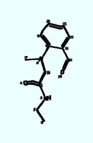 CCNC(=O)CN(C)c1ccccc1C=O